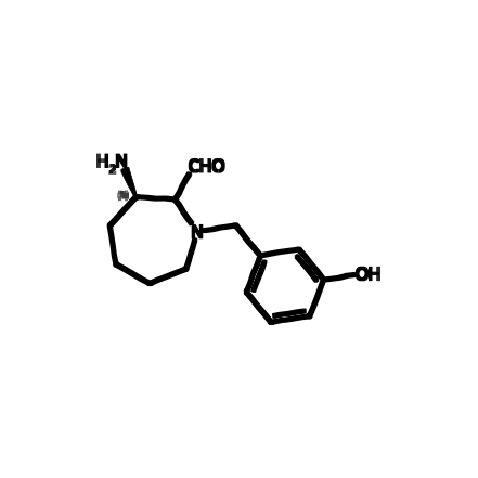 N[C@@H]1CCCCN(Cc2cccc(O)c2)C1C=O